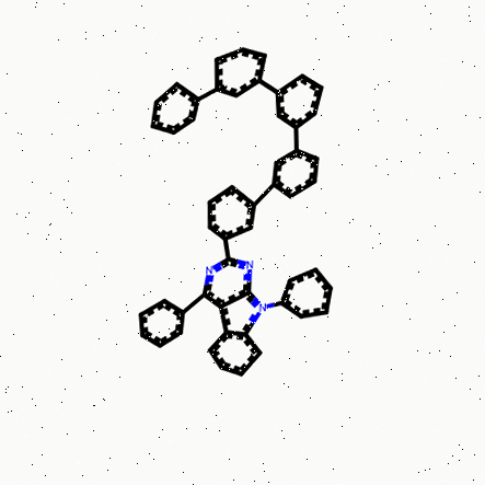 c1ccc(-c2cccc(-c3cccc(-c4cccc(-c5cccc(-c6nc(-c7ccccc7)c7c8ccccc8n(-c8ccccc8)c7n6)c5)c4)c3)c2)cc1